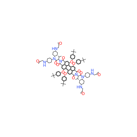 CC(C)C(C(=O)N(C1CCC(NCC2CO2)CC1)C1CCC(NCC2CO2)CC1)N1C(=O)c2cc(Oc3ccc(C(C)(C)C)cc3)c3c4c(Oc5ccc(C(C)(C)C)cc5)cc5c6c(cc(Oc7ccc(C(C)(C)C)cc7)c(c7c(Oc8ccc(C(C)(C)C)cc8)cc(c2c37)C1=O)c64)C(=O)N(C(C(=O)N(C1CCC(NCC2CO2)CC1)C1CCC(NCC2CO2)CC1)C(C)C)C5=O